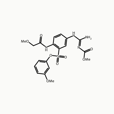 COCC(=O)Nc1ccc(NC(N)=NC(=O)OC)cc1S(=O)(=O)Oc1cccc(OC)c1